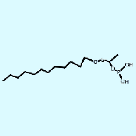 CCCCCCCCCCCCOSC(C)OP(O)O